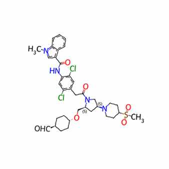 Cn1cc(C(=O)Nc2cc(Cl)c(CC(=O)N3C[C@@H](N4CCC(S(C)(=O)=O)CC4)C[C@H]3CO[C@H]3CC[C@H](C=O)CC3)cc2Cl)c2ccccc21